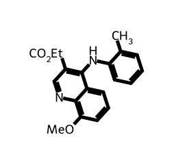 CCOC(=O)c1cnc2c(OC)cccc2c1Nc1ccccc1C